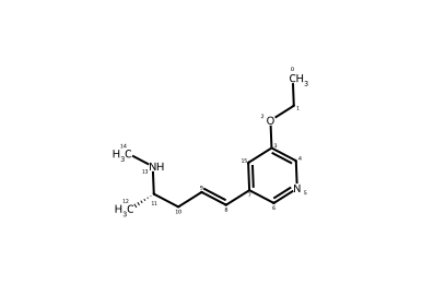 CCOc1cncc(C=CC[C@H](C)NC)c1